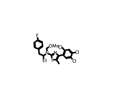 CCC(Cc1ccc(F)cc1)N(COC)c1nc(-c2cc(Cl)c(Cl)cc2Cl)c(C)s1